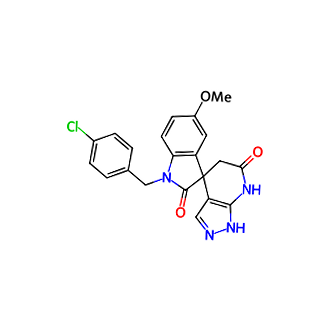 COc1ccc2c(c1)C1(CC(=O)Nc3[nH]ncc31)C(=O)N2Cc1ccc(Cl)cc1